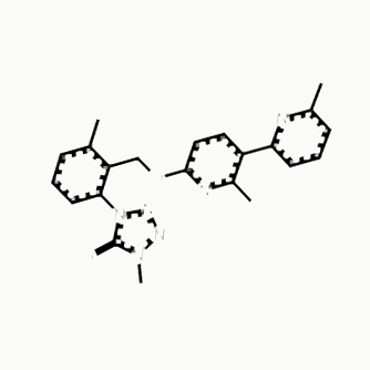 Cc1cccc(-c2ccc(OCc3c(C)cccc3-n3nnn(C)c3=O)nc2C)n1